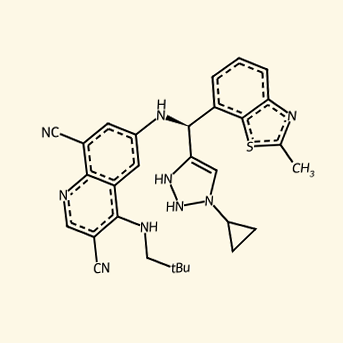 Cc1nc2cccc([C@H](Nc3cc(C#N)c4ncc(C#N)c(NCC(C)(C)C)c4c3)C3=CN(C4CC4)NN3)c2s1